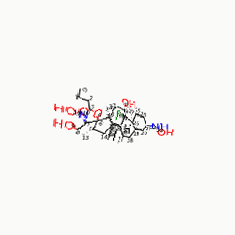 CCCC(=O)O[C@]1(/C(CO)=N/O)[C@@H](C)C[C@H]2[C@@H]3CCC4=CC(NO)C=C[C@]4(C)[C@@]3(F)[C@@H](O)C[C@@]21C